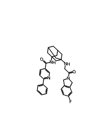 O=C(NC12CC3CC(CC(NCC(=O)N4Cc5ccc(F)cc5C4)(C3)C1)C2)c1ccc(-c2ccccc2)nc1